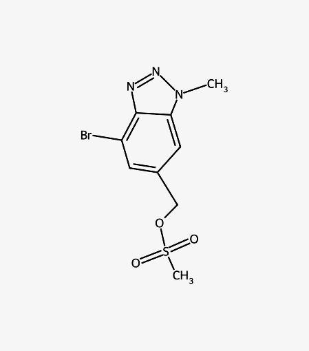 Cn1nnc2c(Br)cc(COS(C)(=O)=O)cc21